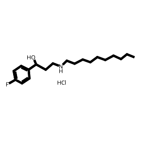 CCCCCCCCCCNCCC(O)c1ccc(F)cc1.Cl